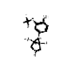 Cc1ccc([C@H]2[C@@H]3CNC[C@@]32C)cc1OC(F)(F)F